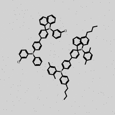 CCCCc1ccc(N(c2ccc(C3C=CC(c4ccccc4)(N(c4ccc(CCCC)cc4)c4cc(C)ccc4C)C=C3)cc2)c2cc(C)ccc2C)cc1.Clc1cccc(N(c2ccccc2)c2ccc(C3C=CC(c4ccccc4)(N(c4ccccc4)c4cccc(Cl)c4)C=C3)cc2)c1